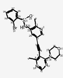 Cc1ncc(C#Cc2c(C)ncnc2N2CCOCC2)cc1N[S+]([O-])c1ccccc1Br